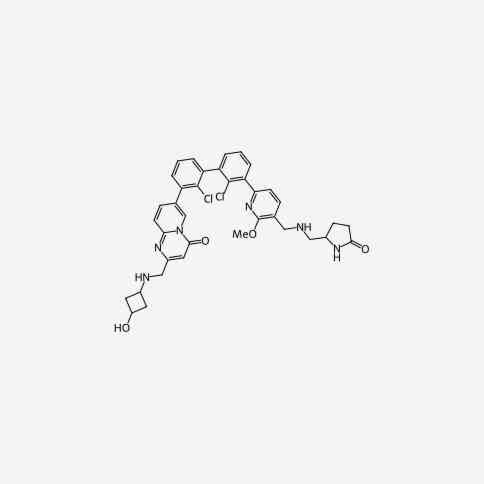 COc1nc(-c2cccc(-c3cccc(-c4ccc5nc(CNC6CC(O)C6)cc(=O)n5c4)c3Cl)c2Cl)ccc1CNCC1CCC(=O)N1